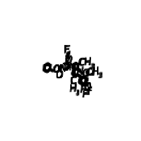 COc1cc(OC(F)(F)F)ccc1-c1nc2c(C)cn([C@@H]3CN(C(=O)OCc4ccccc4)C[C@@H]3OCCF)c2cc1C